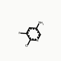 Nc1[c]nc(Cl)c(F)c1